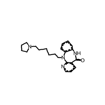 O=C1Nc2ccccc2N(CCCCCCN2CCCC2)c2ncccc21